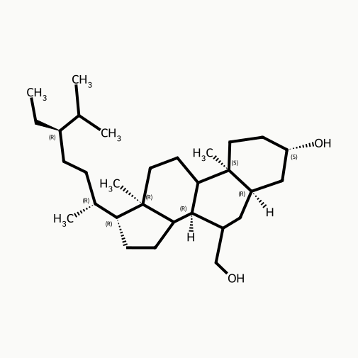 CC[C@H](CC[C@@H](C)[C@H]1CCC2[C@@H]3C(CO)C[C@@H]4C[C@@H](O)CC[C@]4(C)C3CC[C@@]21C)C(C)C